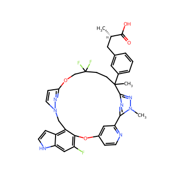 C[C@@H](Cc1cccc(C2(C)CCC(F)(F)COc3ccn(n3)Cc3c(c(F)cc4[nH]ccc34)Oc3ccnc(c3)-c3nc2nn3C)c1)C(=O)O